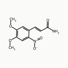 COc1cc(C=CC(N)=O)c([N+](=O)[O-])cc1OC